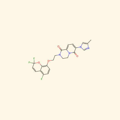 Cc1cn(-c2ccc3n(c2=O)CCN(CCOc2ccc(F)c4c2OC(F)(F)C=C4)C3=O)cn1